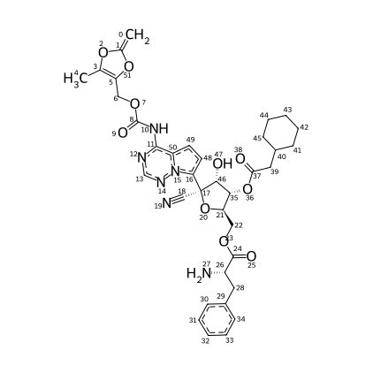 C=C1OC(C)=C(COC(=O)Nc2ncnn3c([C@]4(C#N)O[C@H](COC(=O)[C@@H](N)Cc5ccccc5)[C@@H](OC(=O)CC5CCCCC5)[C@H]4O)ccc23)O1